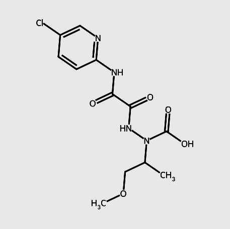 COCC(C)N(NC(=O)C(=O)Nc1ccc(Cl)cn1)C(=O)O